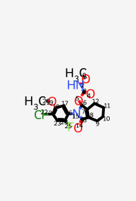 CONC(=O)OC1C2=C(CCCC2)C(=O)N1c1cc(OC)c(Cl)cc1F